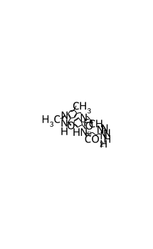 C#CCN(Cc1cc2c(=O)[nH]c(C)nc2cc1C)C1(F)C=CC=CC1C(=O)N[C@@H](CCc1nnn[nH]1)C(=O)O